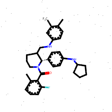 Cc1ccc(NCC2CCCN(C(=O)c3c(C)cccc3F)[C@H]2c2ccc(NC3CCCC3)cc2)cc1C(F)(F)F